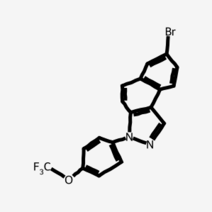 FC(F)(F)Oc1ccc(-n2ncc3c4ccc(Br)cc4ccc32)cc1